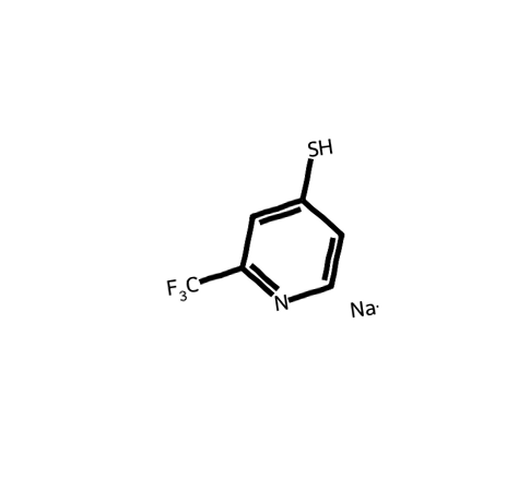 FC(F)(F)c1cc(S)ccn1.[Na]